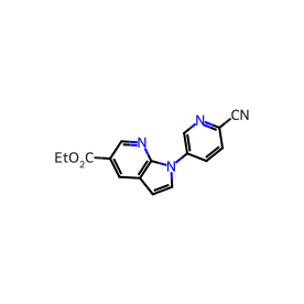 CCOC(=O)c1cnc2c(ccn2-c2ccc(C#N)nc2)c1